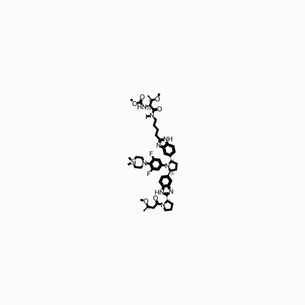 COC(=O)N[C@H](C(=O)N(I)CCCCc1nc2cc([C@@H]3CC[C@@H](c4ccc5[nH]c([C@@H]6CCCN6C(=O)C[C@@H](C)OC)nc5c4)N3c3cc(F)c(N4CC[Si](C)(C)CC4)c(F)c3)ccc2[nH]1)[C@@H](C)OC